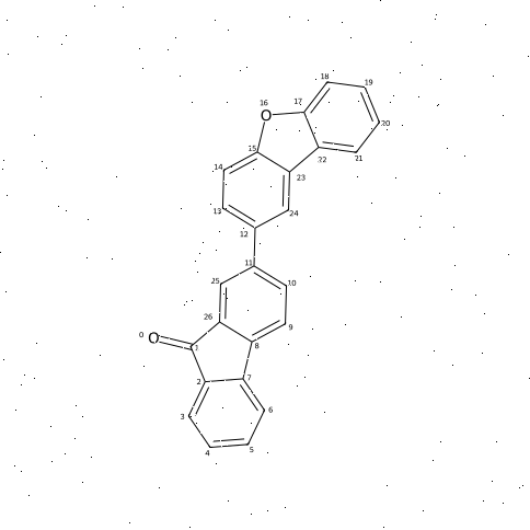 O=C1c2ccccc2-c2ccc(-c3ccc4oc5ccccc5c4c3)cc21